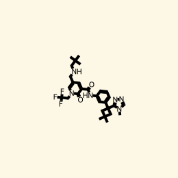 Cn1cnnc1C1(c2cccc(NC(=O)c3cc(CNCC(C)(C)C)cn(CC(F)(F)F)c3=O)c2)CC(C)(C)C1